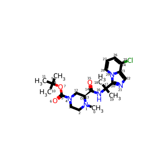 CN1CCN(C(=O)OC(C)(C)C)C[C@H]1C(=O)NC(C)(C)c1ncc2c(Cl)cccn12